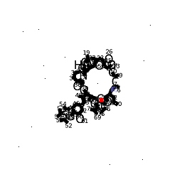 C=CCC1/C=C(\C)CC(C)CC(OC)C2OC(OC(C)=O)(C(C)CC2OC)C(O)C(=O)N2CCCCC2C(=O)OC(C(C)=CC2CCC(O[Si](C(C)C)(C(C)C)C(C)C)C(OC)C2)C(C)C(O[Si](C(C)C)(C(C)C)C(C)C)CC1=O